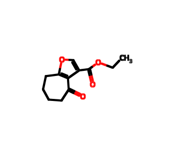 CCOC(=O)c1coc2c1C(=O)CCCC2